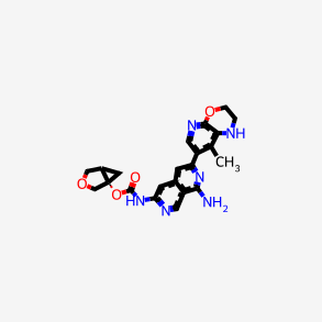 Cc1c(-c2cc3cc(NC(=O)O[C@]45COCC4C5)ncc3c(N)n2)cnc2c1NCCO2